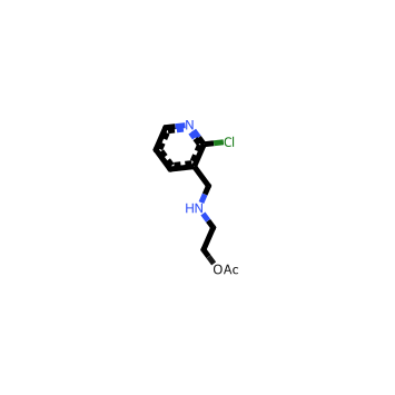 CC(=O)OCCNCc1cccnc1Cl